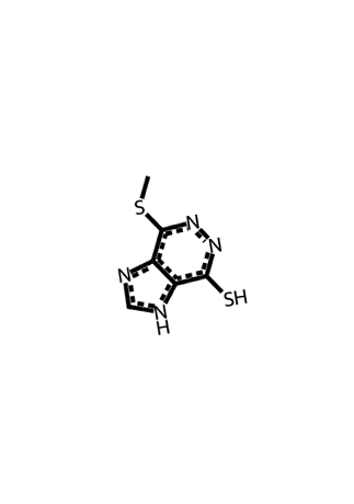 CSc1nnc(S)c2[nH]cnc12